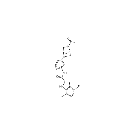 CC(=O)N1CC2CC1CN2c1cccc(NC(=O)C2Cc3c(F)ccc(C)c3N2)c1